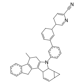 CC1CC2=C(C3=C1c1ccccc1C3)C1C=CC3CC3C1N2c1cccc(C2=CC(C3C=NC(C#N)=CC3)CC=C2)c1